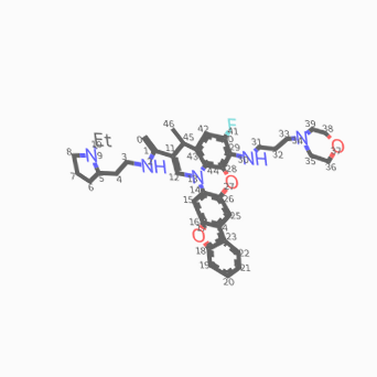 C=C(NCCC1CCCN1CC)C1=CN2c3cc4oc5ccccc5c4cc3Oc3c(NCCCN4CCOCC4)c(F)cc(c32)C1C